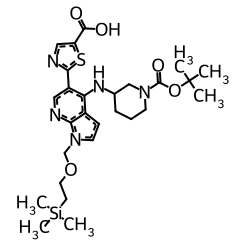 CC(C)(C)OC(=O)N1CCCC(Nc2c(-c3ncc(C(=O)O)s3)cnc3c2ccn3COCC[Si](C)(C)C)C1